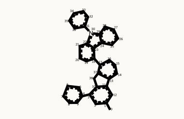 Cc1cc(-c2ccccc2)c2c(c1)-c1cccc(-c3cccc4c3c3ccccc3n4-c3ccccc3)c1C2